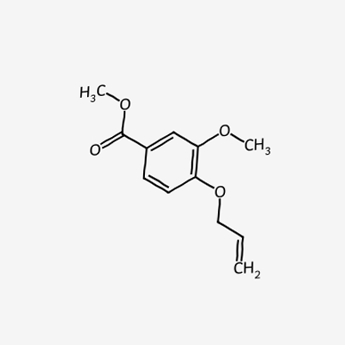 C=CCOc1ccc(C(=O)OC)cc1OC